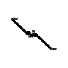 CCCCCCCCCCCCCCCCCCCCCCCCCCCC=Cc1ccc(N=CC(CCCC)=Nc2ccc(C=CCCCCCCCCCCCCCCCCCCCCCCCCCCC)cc2)cc1.[Ni]